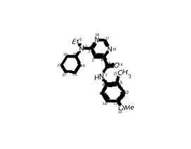 CCN(c1cc(C(=O)Nc2ccc(OC)cc2C)ncn1)C1CCCCC1